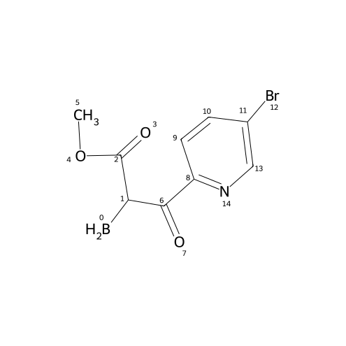 BC(C(=O)OC)C(=O)c1ccc(Br)cn1